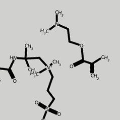 C=C(C)C(=O)OCCN(C)C.C=CC(=O)NC(C)(C)C[N+](C)(C)CCCS(=O)(=O)O